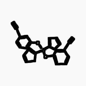 C#Cc1cccc([O][Zr]([O]c2cccc(C#C)c2)([C]2=CC=CC2)[C]2=CC=CC2)c1